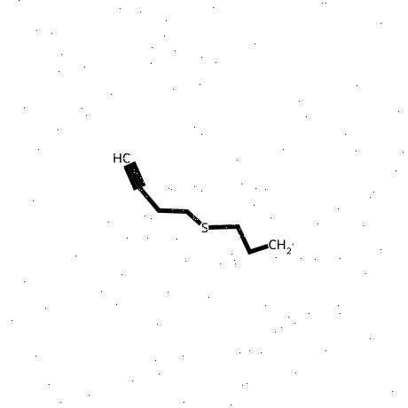 C#CCCSCC[CH2]